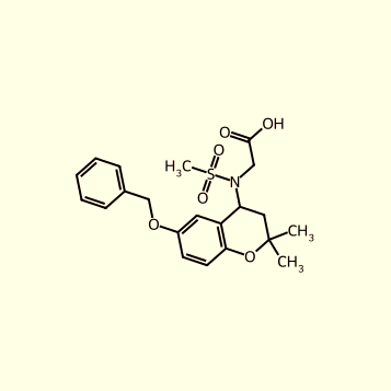 CC1(C)CC(N(CC(=O)O)S(C)(=O)=O)c2cc(OCc3ccccc3)ccc2O1